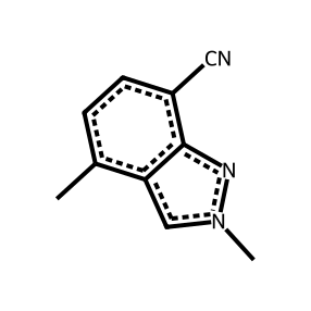 Cc1ccc(C#N)c2nn(C)cc12